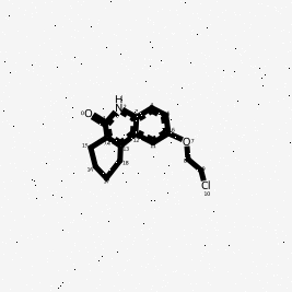 O=c1[nH]c2ccc(OCCCl)cc2c2c1CCCC2